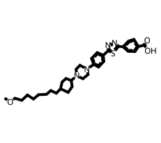 COCCCCCCCCC1CCC(N2CCN(c3ccc(-c4nnc(-c5ccc(C(=O)O)cc5)s4)cc3)CC2)CC1